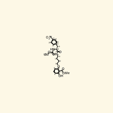 COC(=O)c1c(O)cccc1OCCCCNC(=O)[C@H](Cc1ccc([N+](=O)[O-])cc1)NC(=O)OC(C)(C)C